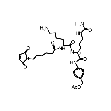 CC(=O)OCc1ccc(NC(=O)[C@H](CCCNC(N)=O)NC(=O)C(CCCCN)NC(=O)CCCCCN2C(=O)C=CC2=O)cc1